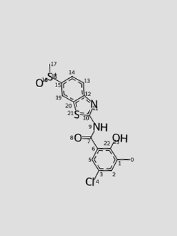 Cc1cc(Cl)cc(C(=O)Nc2nc3ccc([S+](C)[O-])cc3s2)c1O